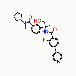 CC(CO)(NC(=O)c1ccc(-c2ccncc2)cc1F)c1cccc(C(=O)NC2CCCC2)c1